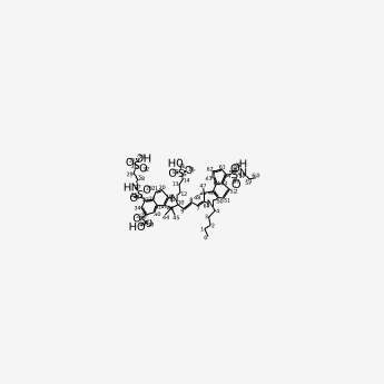 CCCCCN1/C(=C/C=C/C2N(CCCS(=O)(=O)O)c3ccc4c(S(=O)(=O)NCCS(=O)(=O)O)cc(S(=O)(=O)O)cc4c3C2(C)C)C(C)(C)c2c1ccc1c(S(=O)(=O)NCC)cccc21